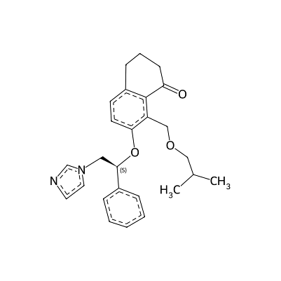 CC(C)COCc1c(O[C@H](Cn2ccnc2)c2ccccc2)ccc2c1C(=O)CCC2